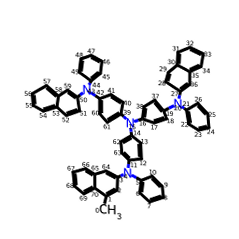 Cc1cc(N(c2ccccc2)c2ccc(N(c3ccc(N(c4ccccc4)c4ccc5ccccc5c4)cc3)c3ccc(N(c4ccccc4)c4ccc5ccccc5c4)cc3)cc2)cc2ccccc12